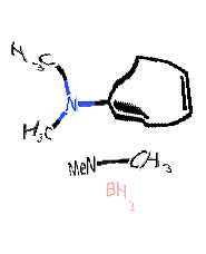 B.CN(C)C1=CC=CC1.CNC